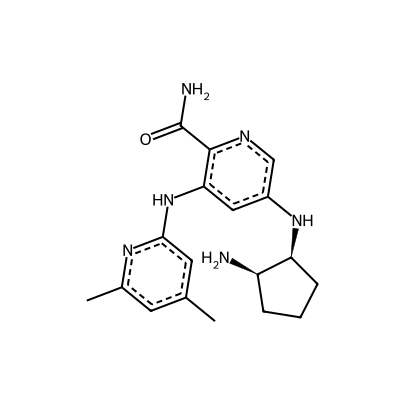 Cc1cc(C)nc(Nc2cc(N[C@H]3CCC[C@H]3N)cnc2C(N)=O)c1